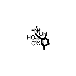 Cc1ccc(C)c(C(O)(C[N+](C)(C)C)P(=O)(O)O)c1